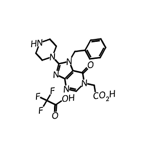 O=C(O)C(F)(F)F.O=C(O)Cn1cnc2nc(N3CCNCC3)n(Cc3ccccc3)c2c1=O